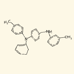 Cc1ccc(N(C2=CC=CCC2)c2ccc(Nc3cccc(C)c3)cc2)cc1